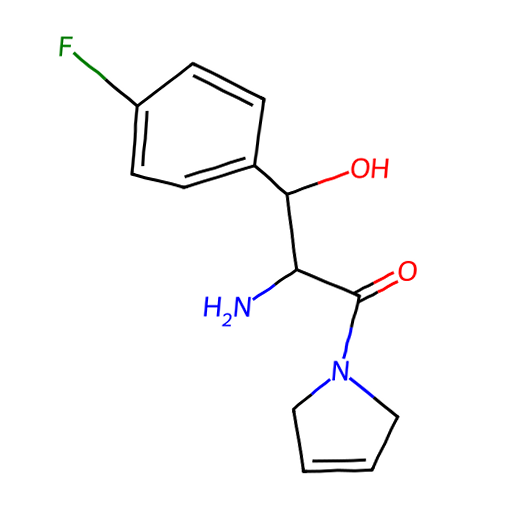 NC(C(=O)N1CC=CC1)C(O)c1ccc(F)cc1